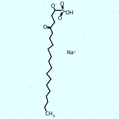 CCCCCCCCCCCCCCCC(=O)CCC([O-])S(=O)(=O)O.[Na+]